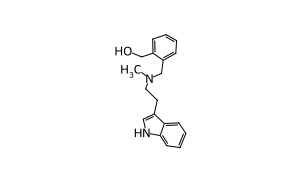 CN(CCc1c[nH]c2ccccc12)Cc1ccccc1CO